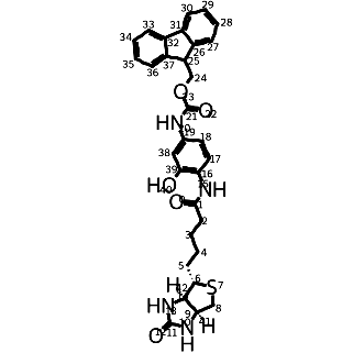 O=C(CCCC[C@@H]1SC[C@H]2NC(=O)N[C@@H]12)Nc1ccc(NC(=O)OCC2c3ccccc3-c3ccccc32)cc1O